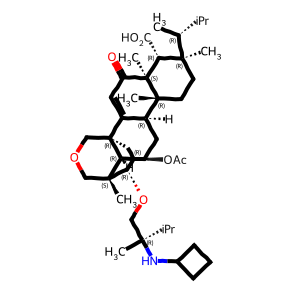 CC(=O)O[C@@H]1C[C@@]23COC[C@](C)([C@@H]2CC[C@H]2C3=CC(=O)[C@@]3(C)[C@H](C(=O)O)[C@@](C)([C@H](C)C(C)C)CC[C@]23C)[C@H]1OC[C@](C)(NC1CCC1)C(C)C